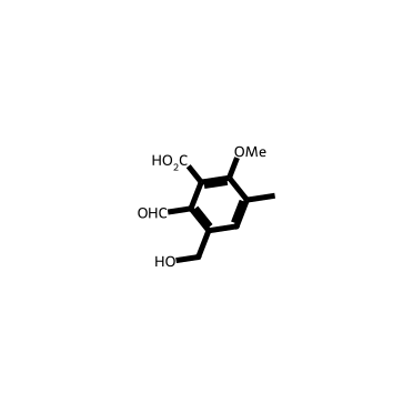 COc1c(C)cc(CO)c(C=O)c1C(=O)O